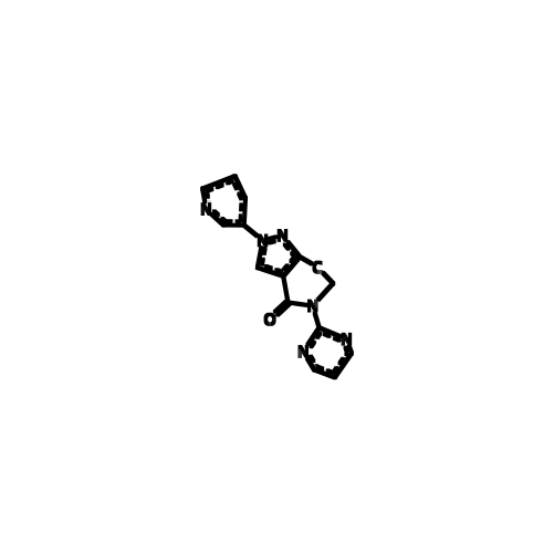 O=C1c2cn(-c3cccnc3)nc2CCN1c1ncccn1